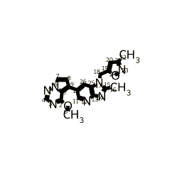 COc1ncnn2ccc(-c3cnc4nc(C)n(Cc5cc(C)no5)c4c3)c12